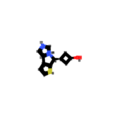 O[C@H]1C[C@H](C2c3sccc3-c3cncn32)C1